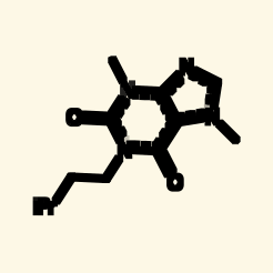 CC(C)CCn1c(=O)c2c(ncn2C)n(C)c1=O